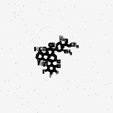 C=CC(=O)N1[C@H](C)CN(c2c(C#N)c(=O)n(C3=C(C)C=CN(C)C3C(C)C)c3nc(-c4c(O)c(F)c(F)c(F)c4Cl)c(Cl)cc23)C[C@@H]1C